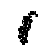 C=CCNC(=O)Nc1cccc(-c2ccnc3c(C(=O)c4cccs4)cnn23)c1